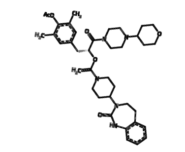 C=C(O[C@H](Cc1cc(C)c(OC(C)=O)c(C)c1)C(=O)N1CCN(C2CCOCC2)CC1)N1CCC(N2CCc3ccccc3NC2=O)CC1